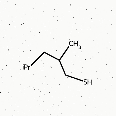 CC(C)CC(C)CS